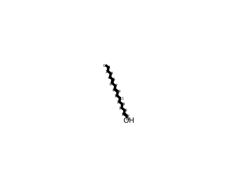 CCCCCC=CCC=CCCCCCCC=CO